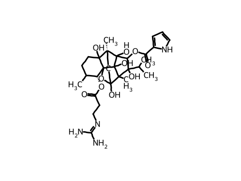 CC1CCC2(O)C3(OC4(O)C[C@]2(C)C2(O)C(OC(=O)c5ccc[nH]5)C(O)(C(C)C)C4(C)C32O)[C@@H]1OC(=O)CCN=C(N)N